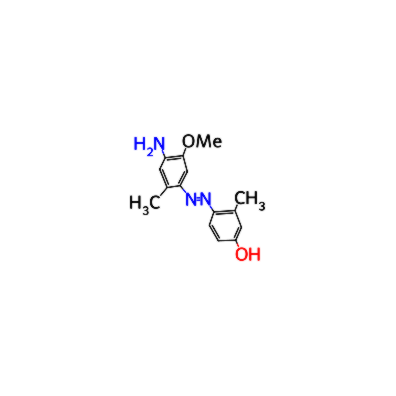 COc1cc(/N=N/c2ccc(O)cc2C)c(C)cc1N